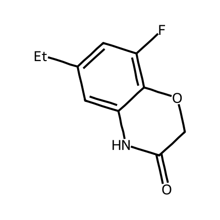 CCc1cc(F)c2c(c1)NC(=O)CO2